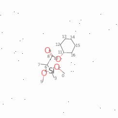 CO[Si](C)(OC)C(C)C(=O)OC1CCCCC1